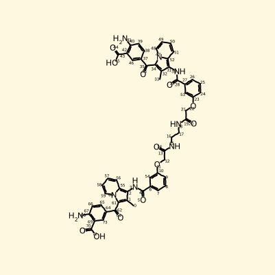 Cc1c(NC(=O)c2cccc(OCC(=O)NCCNC(=O)COc3cccc(C(=O)Nc4c(C)c(C(=O)c5ccc(N)c(C(=O)O)c5)n5ccccc45)c3)c2)c2ccccn2c1C(=O)c1ccc(N)c(C(=O)O)c1